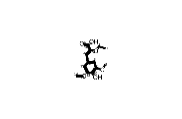 CCOC(=Cc1cc(OC)c(O)c(OC)c1)C(=O)O